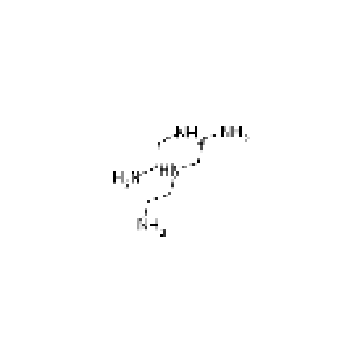 NCCN.NCCNCCN